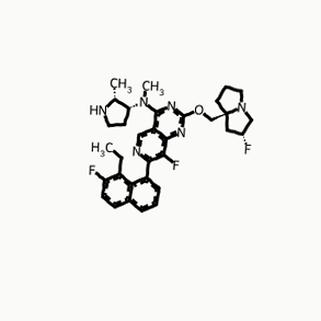 CCc1c(F)ccc2cccc(-c3ncc4c(N(C)[C@@H]5CCN[C@@H]5C)nc(OC[C@@]56CCCN5C[C@H](F)C6)nc4c3F)c12